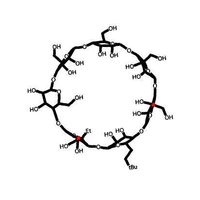 CCC1OC2OC3C(CO)OC(OC4C(CO)OC(OC5C(CO)OC(OC6C(CO)OC(OC7C(CO)OC(OC8C(CCC(C)(C)C)OC(OC1C(O)C2O)C(O)C8O)C(O)C7O)C(O)C6O)C(O)C5O)C(O)C4O)C(O)C3O